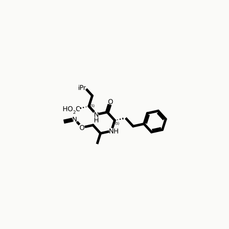 C=NOCC(C)N[C@@H](CCc1ccccc1)C(=O)N[C@@H](CC(C)C)C(=O)O